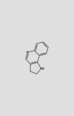 c1ccc2c3c(cnc2c1)CCN3